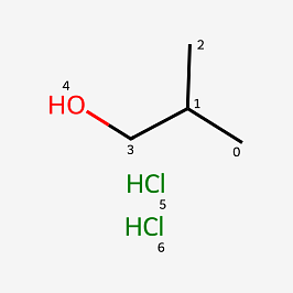 CC(C)CO.Cl.Cl